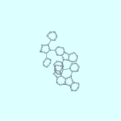 c1ccc(-c2nnc(-c3ccccc3)n2-c2ccc3c4ccccc4n(-c4ccccc4-c4ccccc4-n4c5ccccc5c5ccc6oc7ccccc7c6c54)c3c2)cc1